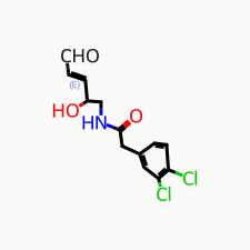 O=C/C=C/C(O)CNC(=O)Cc1ccc(Cl)c(Cl)c1